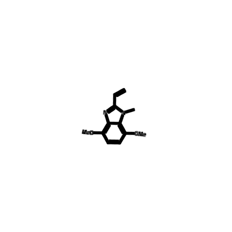 C=Cc1nc2c(OC)ccc(OC)c2n1C